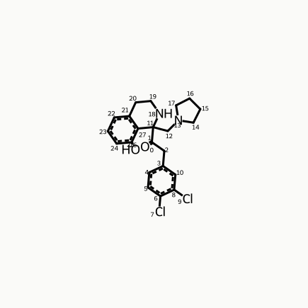 O=C(Cc1ccc(Cl)c(Cl)c1)C1(CN2CCCC2)NCCc2cccc(O)c21